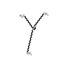 CCCCCCCCCCCCCCCCCCn1cc[n+](CCCCCCCCCCCC)c1CCCCCCCCCCC